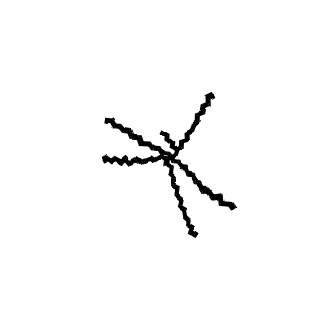 C=CCCCCCCCCCCCCCC=C(CCCCCCCCCCC=C)C(CCCCCCCCC=CCCCCC)(CCCCCCCCCCCCC=C)CC(CCCCC)CCCCCCCCCCCC=C